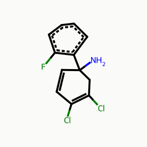 NC1(c2ccccc2F)C=CC(Cl)=C(Cl)C1